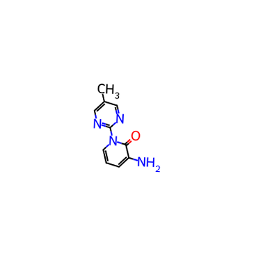 Cc1cnc(-n2cccc(N)c2=O)nc1